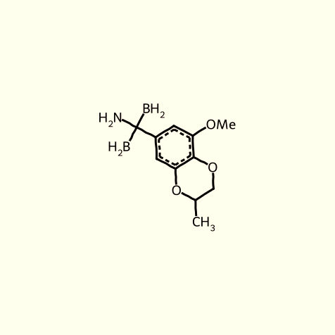 BC(B)(N)c1cc(OC)c2c(c1)OC(C)CO2